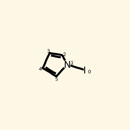 In1cccc1